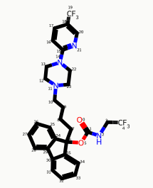 O=C(NCC(F)(F)F)OC1(CCCCN2CCN(c3ccc(C(F)(F)F)cn3)CC2)c2ccccc2-c2ccccc21